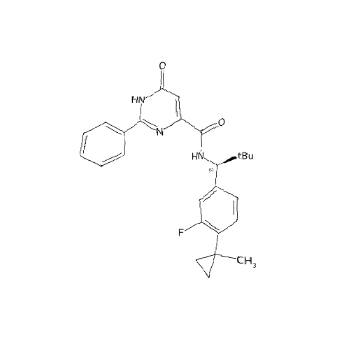 CC1(c2ccc([C@@H](NC(=O)c3cc(=O)[nH]c(-c4ccccc4)n3)C(C)(C)C)cc2F)CC1